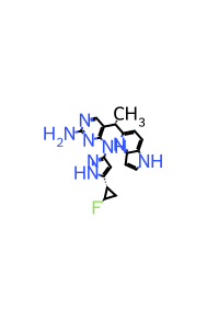 C[C@H](c1ccc2[nH]ccc2n1)c1cnc(N)nc1Nc1cc([C@@H]2C[C@H]2F)[nH]n1